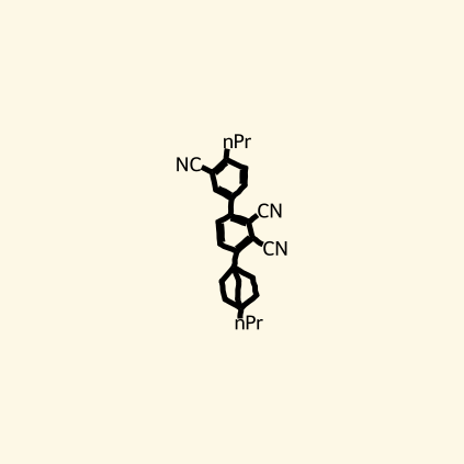 CCCc1ccc(-c2ccc(C34CCC(CCC)(CC3)CC4)c(C#N)c2C#N)cc1C#N